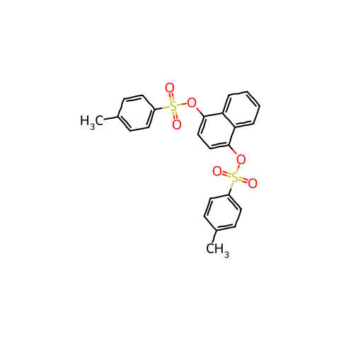 Cc1ccc(S(=O)(=O)Oc2ccc(OS(=O)(=O)c3ccc(C)cc3)c3ccccc23)cc1